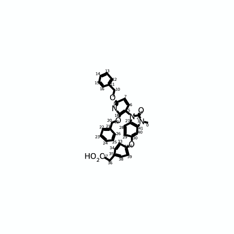 Cn1c(=O)n(-c2ccc(OCc3ccccc3)nc2OCc2ccccc2)c2ccc(Oc3ccc(CC(=O)O)cc3)cc21